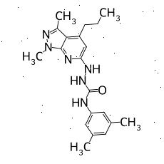 CCCc1cc(NNC(=O)Nc2cc(C)cc(C)c2)nc2c1c(C)nn2C